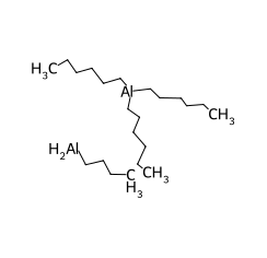 CCCCC[CH2][Al]([CH2]CCCCC)[CH2]CCCCC.CCC[CH2][AlH2]